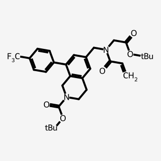 C=CC(=O)N(CC(=O)OC(C)(C)C)Cc1cc2c(c(-c3ccc(C(F)(F)F)cc3)c1)CN(C(=O)OC(C)(C)C)CC2